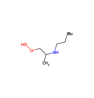 CC(COO)NCCC(C)(C)C